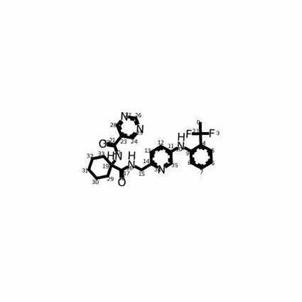 CC(F)(F)c1ccccc1Nc1ccc(CNC(=O)C2(NC(=O)c3cncnc3)CCCCC2)nc1